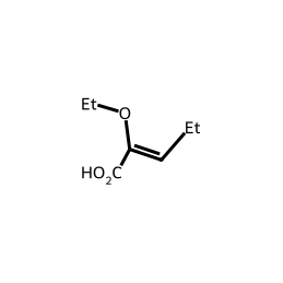 CC/C=C(\OCC)C(=O)O